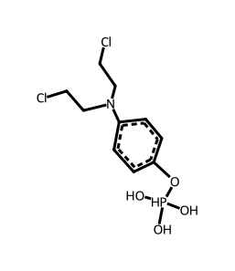 O[PH](O)(O)Oc1ccc(N(CCCl)CCCl)cc1